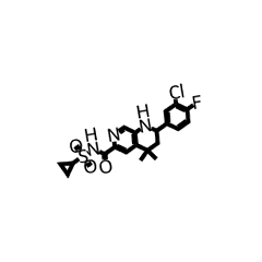 CC1(C)CC(c2ccc(F)c(Cl)c2)Nc2cnc(C(=O)NS(=O)(=O)C3CC3)cc21